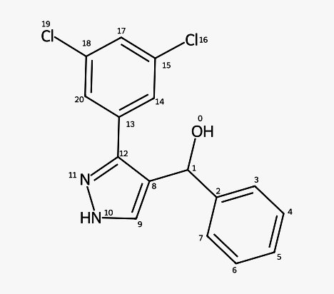 OC(c1ccccc1)c1c[nH]nc1-c1cc(Cl)cc(Cl)c1